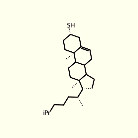 CC(C)CCC[C@@H](C)[C@H]1CCC2C3CC=C4C[C@@H](S)CC[C@]4(C)C3CC[C@@]21C